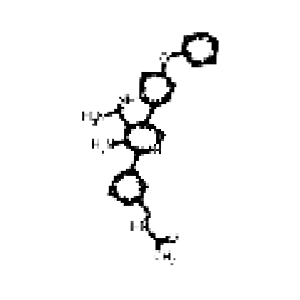 CC(=O)NCc1cccc(-c2ncc(-c3ccc(Oc4ccccc4)cc3)c(C(=N)N)c2N)c1